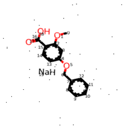 COc1cc(OCc2ccccc2)ccc1C(=O)O.[NaH]